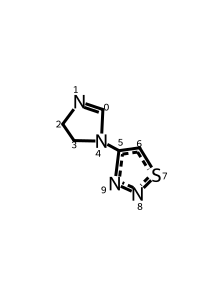 C1=NCCN1c1csnn1